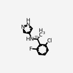 C[C@H](Nc1cn[nH]c1)c1c(F)cccc1Cl